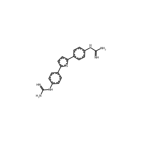 N=C(N)Nc1ccc(-c2ccc(-c3ccc(NC(=N)N)cc3)s2)cc1